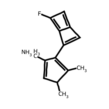 CC1=CC(C)C(C)=C1c1cc2cc(F)c1-2.N